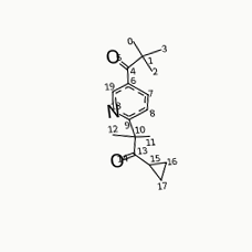 CC(C)(C)C(=O)c1ccc(C(C)(C)C(=O)C2CC2)nc1